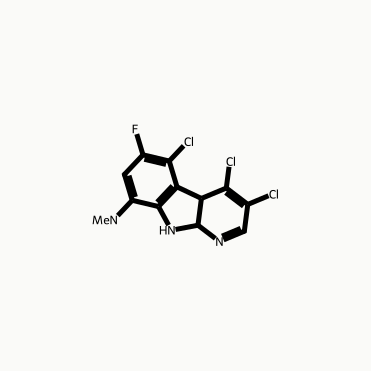 CNc1cc(F)c(Cl)c2c1NC1N=CC(Cl)=C(Cl)C21